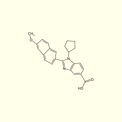 COc1ccc2cc(-c3nc4cc(C(=O)O)ccc4n3C3CCCC3)ccc2c1